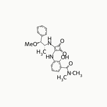 CO[C@@H](c1ccccc1)[C@@H](C)Nc1c(Nc2cccc(C(=O)N(C)C)c2O)c(=O)c1=O